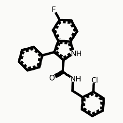 O=C(NCc1ccccc1Cl)c1[nH]c2ccc(F)cc2c1-c1ccccc1